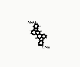 COc1ccc2c(c1)c1cccc3c4cc5c6ccc(OC)cc6c6cccc(c4cc2c13)c65